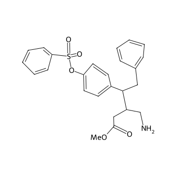 COC(=O)CC(CN)C(Cc1ccccc1)c1ccc(OS(=O)(=O)c2ccccc2)cc1